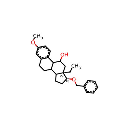 CC[C@]12CC(O)C3c4ccc(OC)cc4CCC3C1CC[C@@H]2OCc1ccccc1